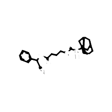 N#CC(OC(=O)CCCNC(=O)NC12CC3CC(CC(C3)C1)C2)c1ccccc1